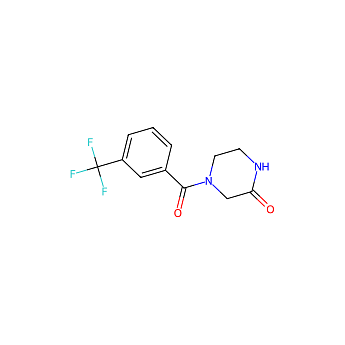 O=C1CN(C(=O)c2cccc(C(F)(F)F)c2)CCN1